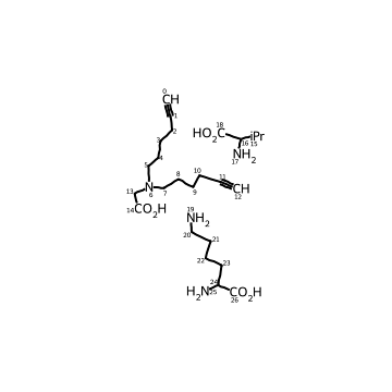 C#CCCCCN(CCCCC#C)CC(=O)O.CC(C)C(N)C(=O)O.NCCCCC(N)C(=O)O